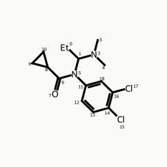 CCC(N(C)C)N(C(=O)C1CC1)c1ccc(Cl)c(Cl)c1